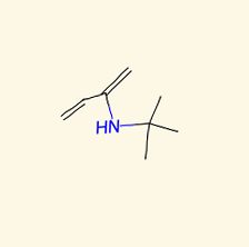 C=CC(=C)NC(C)(C)C